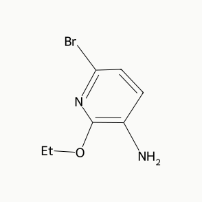 CCOc1nc(Br)ccc1N